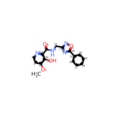 COc1ccnc(C(=O)NCc2noc(-c3ccccc3)n2)c1O